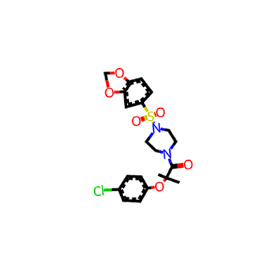 CC(C)(Oc1ccc(Cl)cc1)C(=O)N1CCN(S(=O)(=O)c2ccc3c(c2)OCO3)CC1